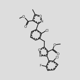 COC(=O)c1c(-c2cccc(Cc3onc(-c4c(F)cccc4Cl)c3C(=O)OC)c2Cl)noc1C